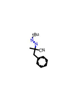 CC(C)(C)/N=N/C(C)(C#N)Cc1ccccc1